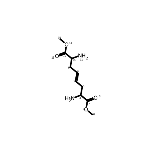 COC(=O)C(N)CC=CCC(N)C(=O)OC